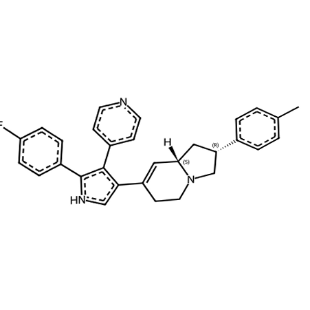 Cc1ccc([C@H]2C[C@H]3C=C(c4c[nH]c(-c5ccc(F)cc5)c4-c4ccncc4)CCN3C2)cc1